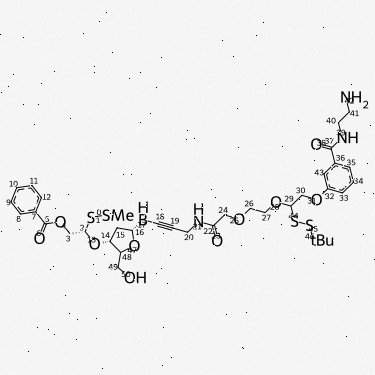 CSS[C@@H](COC(=O)c1ccccc1)O[C@@H]1C[C@H](BC#CCNC(=O)COCCOC(COc2cccc(C(=O)NCCN)c2)SSC(C)(C)C)OC1CO